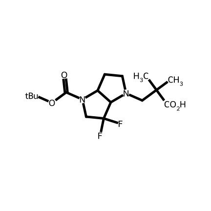 CC(C)(C)OC(=O)N1CC(F)(F)C2C1CCN2CC(C)(C)C(=O)O